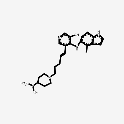 Cc1c(Nc2c(C#N)cncc2C=CCCCN2CCC(N(C(=O)O)C(C)(C)C)CC2)ccc2[nH]ccc12